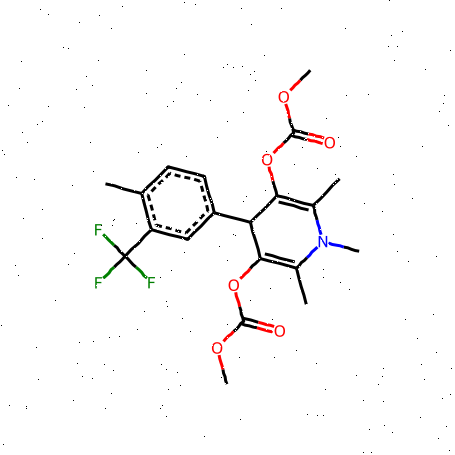 COC(=O)OC1=C(C)N(C)C(C)=C(OC(=O)OC)C1c1ccc(C)c(C(F)(F)F)c1